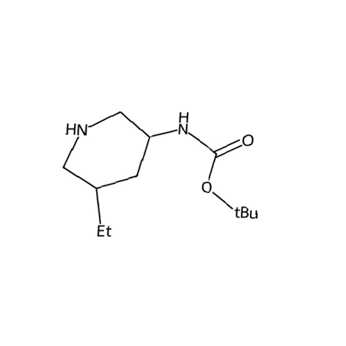 CCC1CNCC(NC(=O)OC(C)(C)C)C1